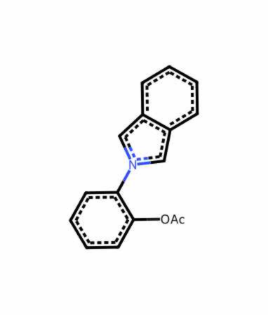 CC(=O)Oc1ccccc1-n1cc2ccccc2c1